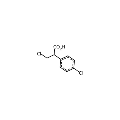 O=C(O)C(CCl)c1ccc(Cl)cc1